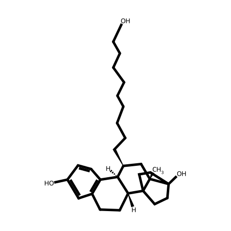 C[C@]12C[C@H](CCCCCCCCCO)[C@@H]3c4ccc(O)cc4CC[C@H]3C13CCC2(O)CC3